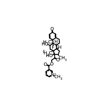 CC1C[C@H]2[C@@H]3CCC4=CC(=O)C=C[C@]4(C)[C@@]3(F)C(O)C[C@]2(C)[C@@]1(O)C(=O)COC(=O)c1ccc[n+](C)c1.[I-]